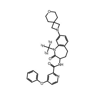 [2H]C([2H])([2H])N1C(=O)C(NC(=O)c2cc(Oc3ccccc3)ccn2)CCc2ccc(N3CC4(CCOCC4)C3)cc21